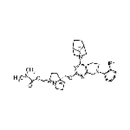 CC(C)c1ccccc1N1CCc2c(nc(OC[C@]34CCCN3[C@@H](COC(=O)N(C)C)CC4)nc2N2CC3CCC(C2)N3)C1